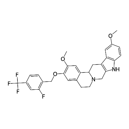 COc1ccc2[nH]c3c(c2c1)CC1c2cc(OC)c(OCc4ccc(C(F)(F)F)cc4F)cc2CCN1C3